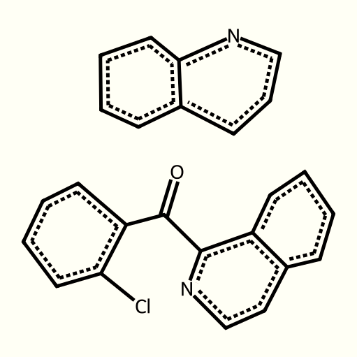 O=C(c1ccccc1Cl)c1nccc2ccccc12.c1ccc2ncccc2c1